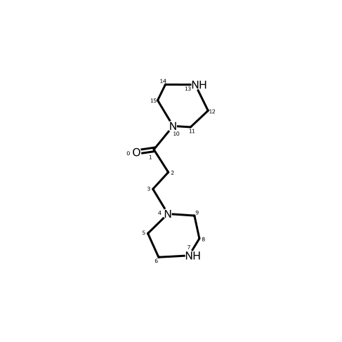 O=C(CCN1CCNCC1)N1CCNCC1